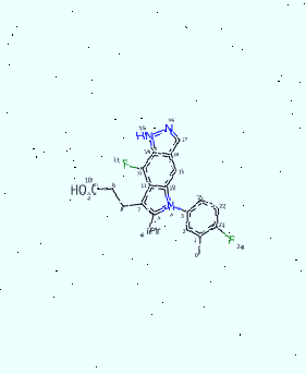 Cc1cc(-n2c(C(C)C)c(CCC(=O)O)c3c(F)c4[nH]ncc4cc32)ccc1F